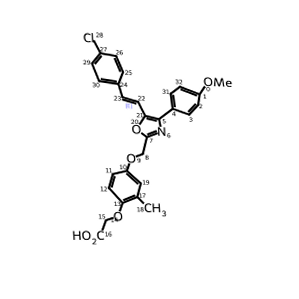 COc1ccc(-c2nc(COc3ccc(OCC(=O)O)c(C)c3)oc2/C=C/c2ccc(Cl)cc2)cc1